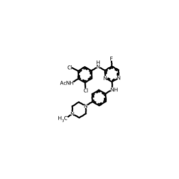 CC(=O)Nc1c(Cl)cc(Nc2nc(Nc3ccc(N4CCN(C)CC4)cc3)ncc2F)cc1Cl